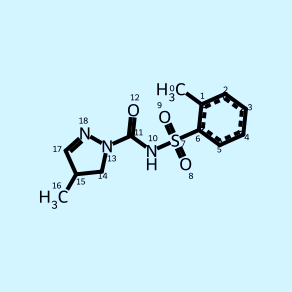 Cc1ccccc1S(=O)(=O)NC(=O)N1CC(C)C=N1